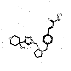 O=C(C=Cc1ccc(CN2CCC[C@@H]2Cn2cc(C3(O)CCOCC3)nn2)cc1)NO